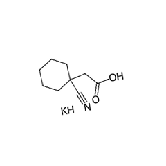 N#CC1(CC(=O)O)CCCCC1.[KH]